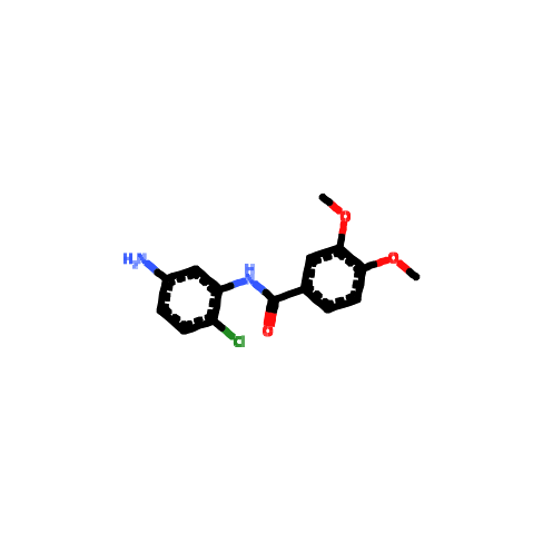 COc1ccc(C(=O)Nc2cc(N)ccc2Cl)cc1OC